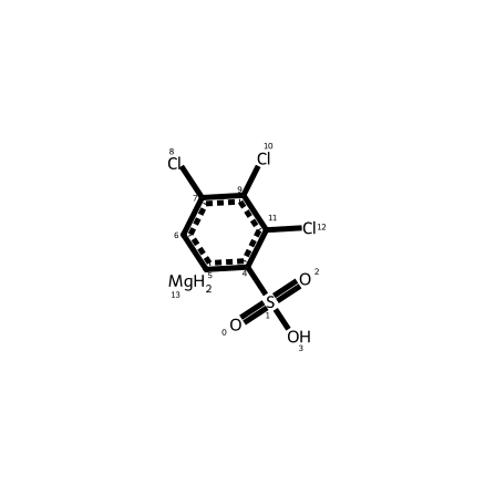 O=S(=O)(O)c1ccc(Cl)c(Cl)c1Cl.[MgH2]